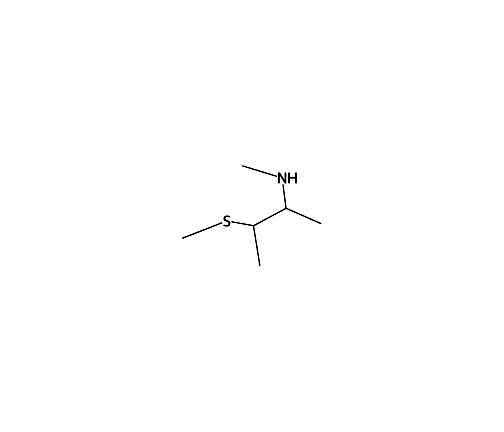 CNC(C)C(C)SC